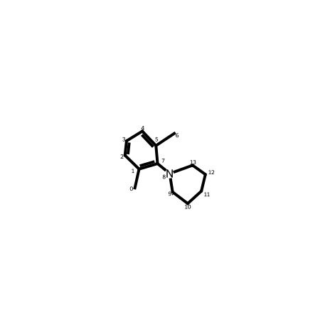 Cc1cccc(C)c1N1[CH]CCCC1